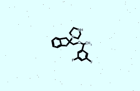 CC(OCC1(N2CCNCC2)Cc2ccccc2C1)c1cc(F)cc(F)c1